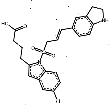 O=C(O)CCCc1cc2cc(Cl)ccc2n1S(=O)(=O)CC=Cc1ccc2c(c1)CCN2